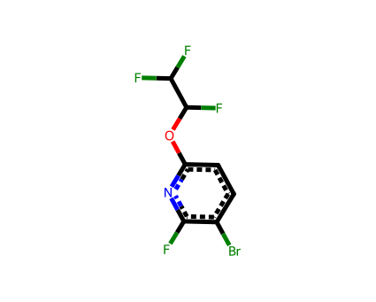 Fc1nc(OC(F)C(F)F)ccc1Br